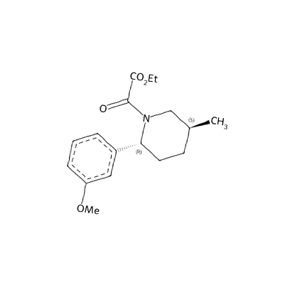 CCOC(=O)C(=O)N1C[C@@H](C)CC[C@@H]1c1cccc(OC)c1